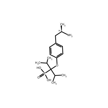 CC(C)C(Oc1ccc(C[C@@H](C)N)cc1)(C(C)C)P(=O)(O)O